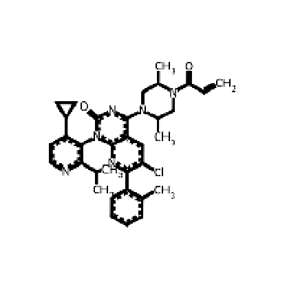 C=CC(=O)N1CC(C)N(c2nc(=O)n(-c3c(C4CC4)ccnc3C(C)C)c3nc(-c4ccccc4C)c(Cl)cc23)CC1C